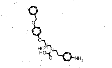 Nc1ccc(CCN(C[C@H](O)COc2ccc(OCc3ccccc3)cc2)C(=O)O)cc1